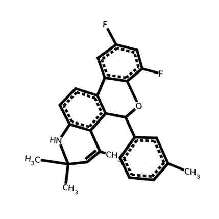 CC1=CC(C)(C)Nc2ccc3c(c21)C(c1cccc(C)c1)Oc1c(F)cc(F)cc1-3